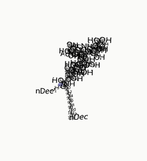 CCCCCCCCCCCCC/C=C/[C@@H](O)[C@H](CO[C@@H]1OC(CO)[C@@H](O[C@@H]2OC(CO)[C@H](O[C@@H]3OC(CO)[C@H](O)[C@H](O[C@@H]4OC(CO[C@@H]5OC(CO)[C@@H](O)[C@H](O[C@H]6C(O)[C@H](O)C(C)O[C@H]6O)C5NC(C)=O)[C@H](O)[C@H](O[C@@H]5OC(CO)[C@H](O)[C@H](O)C5O)C4NC(C)=O)C3O)[C@H](O)C2O)[C@H](O)C1O)NC(=O)CCCCCCCCCCCCCCCCCCCCCCC